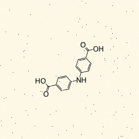 O=C(O)c1ccc(Nc2ccc(C(=O)O)cc2)cc1